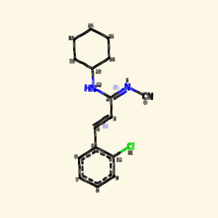 N#C/N=C(\C=C\c1ccccc1Cl)NC1CCCCC1